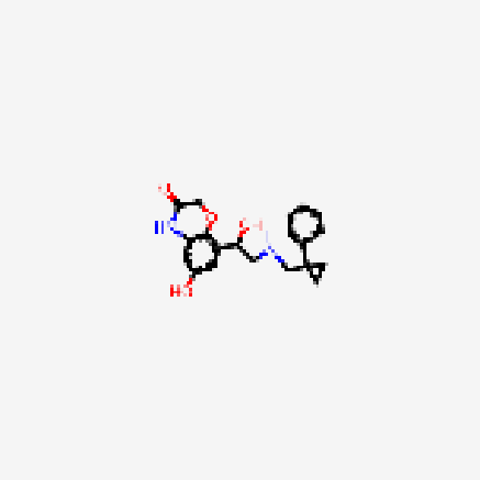 O=C1COc2c(cc(O)cc2C(O)CNCC2(c3ccccc3)CC2)N1